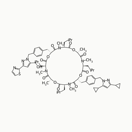 CC(C)C[C@H]1C(=O)O[C@H](Cc2ccc(Cn3nc(C4CC4)cc3C3CC3)cc2)C(=O)N(C)[C@@H](CC(C)C)C(=O)O[C@H](C)C(=O)N(C)[C@@H](CC(C)C)C(=O)O[C@H](Cc2ccc(Cn3nc(-c4nccs4)cc3CO)cc2)C(=O)N(C)[C@@H](CC(C)C)C(=O)O[C@H](C)C(=O)N1C